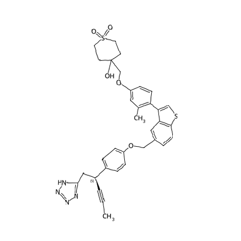 CC#C[C@@H](Cc1nnn[nH]1)c1ccc(OCc2ccc3scc(-c4ccc(OCC5(O)CCS(=O)(=O)CC5)cc4C)c3c2)cc1